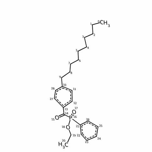 CCCCCCCCCCc1ccc(C(=O)P(=O)(OCC)c2ccccc2)cc1